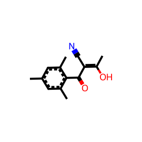 CC(O)=C(C#N)C(=O)c1c(C)cc(C)cc1C